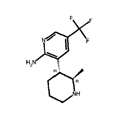 C[C@H]1NCCC[C@@H]1c1cc(C(F)(F)F)cnc1N